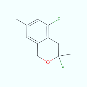 Cc1cc(F)c2c(c1)COC(C)(F)C2